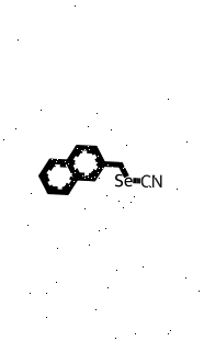 N#C[Se]Cc1ccc2ccccc2c1